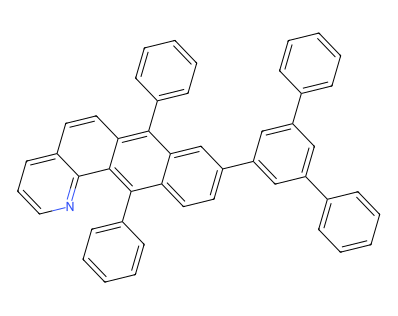 c1ccc(-c2cc(-c3ccccc3)cc(-c3ccc4c(-c5ccccc5)c5c(ccc6cccnc65)c(-c5ccccc5)c4c3)c2)cc1